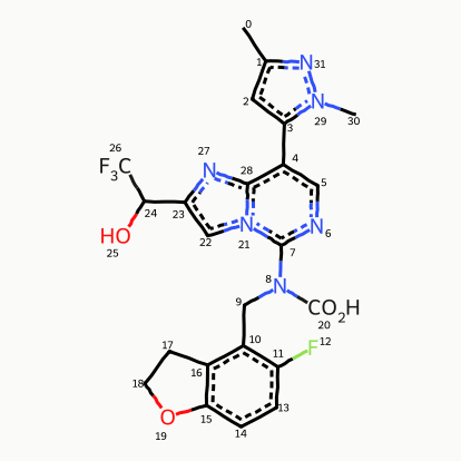 Cc1cc(-c2cnc(N(Cc3c(F)ccc4c3CCO4)C(=O)O)n3cc(C(O)C(F)(F)F)nc23)n(C)n1